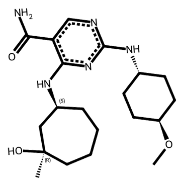 CO[C@H]1CC[C@H](Nc2ncc(C(N)=O)c(N[C@H]3CCCC[C@@](C)(O)C3)n2)CC1